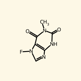 Cn1c(=O)[nH]c2ncn(F)c2c1=O